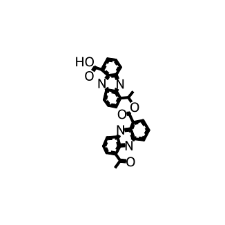 CC(=O)c1cccc2nc3c(C(=O)OC(C)c4cccc5nc6c(C(=O)O)cccc6nc45)cccc3nc12